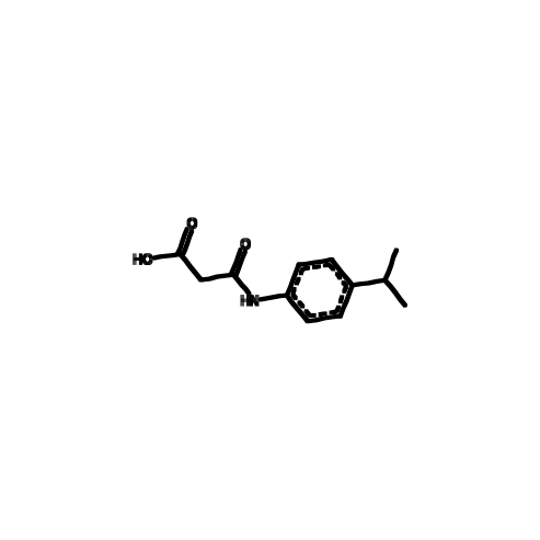 CC(C)c1ccc(NC(=O)CC(=O)O)cc1